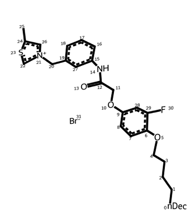 CCCCCCCCCCCCCCOc1ccc(OCC(=O)Nc2cccc(C[n+]3csc(C)c3)c2)cc1F.[Br-]